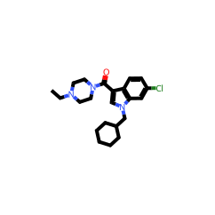 CCN1CCN(C(=O)c2cn(CC3CCCCC3)c3cc(Cl)ccc23)CC1